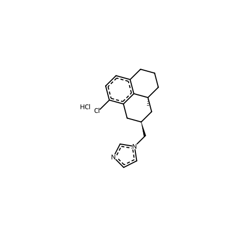 C[C@@]12CCCc3ccc(Cl)c(c31)C[C@H](Cn1ccnc1)C2.Cl